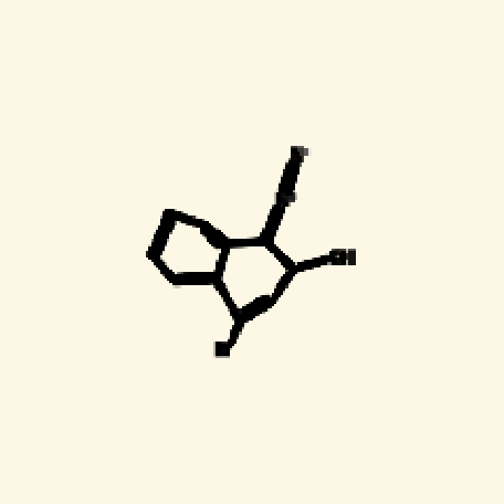 [N-]=[N+]=C1c2ccccc2C(Br)=CC1O